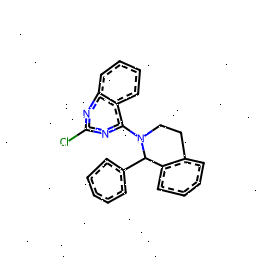 Clc1nc(N2CCc3ccccc3C2c2ccccc2)c2ccccc2n1